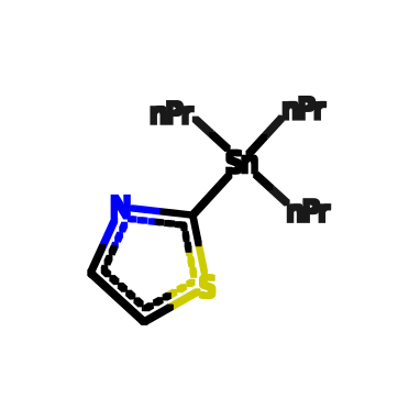 CC[CH2][Sn]([CH2]CC)([CH2]CC)[c]1nccs1